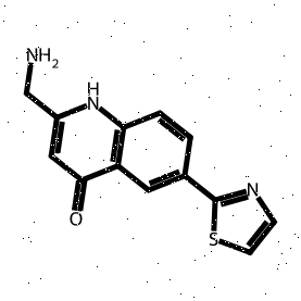 NCc1cc(=O)c2cc(-c3nccs3)ccc2[nH]1